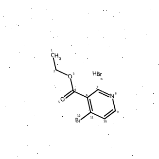 Br.CCOC(=O)c1cnccc1Br